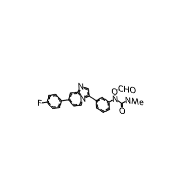 CNC(=O)N(OC=O)c1cccc(-c2cnc3cc(-c4ccc(F)cc4)ccn23)c1